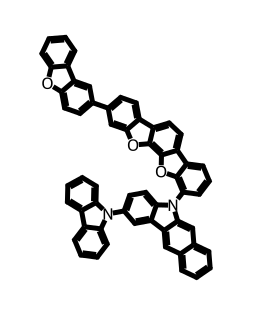 c1ccc2cc3c(cc2c1)c1cc(-n2c4ccccc4c4ccccc42)ccc1n3-c1cccc2c1oc1c2ccc2c3ccc(-c4ccc5oc6ccccc6c5c4)cc3oc21